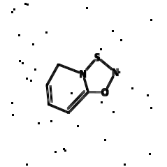 C1=CCN2S[N]OC2=C1